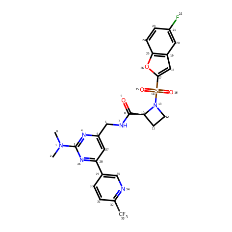 CN(C)c1nc(CNC(=O)[C@@H]2CCN2S(=O)(=O)c2cc3cc(F)ccc3o2)cc(-c2ccc(C(F)(F)F)nc2)n1